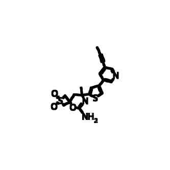 CC#Cc1cncc(-c2csc(C3(C)CC4(CS(=O)(=O)C4)OC(N)=N3)c2)c1